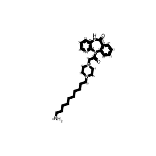 NCCCCCCCCCCN1CCN(CC(=O)N2c3ccccc3C(=O)Nc3cccnc32)CC1